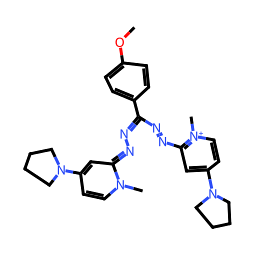 COc1ccc(C(N=Nc2cc(N3CCCC3)cc[n+]2C)=NN=c2cc(N3CCCC3)ccn2C)cc1